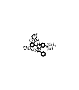 CCOc1cc(OC2CCN(C)CC2)c(F)c(C(Nc2ccc(C(=N)N)cc2)c2nc(-c3ccccc3)c[nH]2)c1